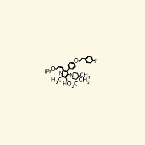 Cc1nc(/C=C\COC(C)C)c(-c2ccc(OCCc3ccc(F)cc3)cc2)c(N2CCC(C)(C)CC2)c1CC(=O)O